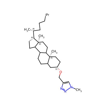 CC(C)CCC[C@@H](C)[C@H]1CCC2C3CCC4C[C@@H](OCc5cn(C)nn5)CC[C@]4(C)C3CC[C@@]21C